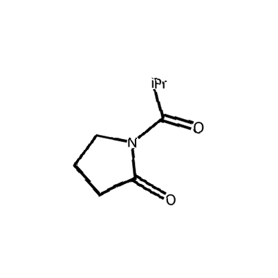 CC(C)C(=O)N1CCCC1=O